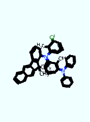 Cc1c(Cl)cccc1N(c1cccc(N(c2ccccc2)c2ccccc2)c1C)c1cccc2c1C(C)(C)c1cc3ccccc3cc1-2